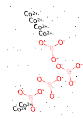 [Co+2].[Co+2].[Co+2].[Co+2].[Co+2].[Co+2].[O-]B([O-])[O-].[O-]B([O-])[O-].[O-]B([O-])[O-].[O-]B([O-])[O-]